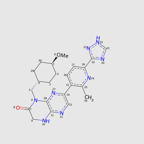 CO[C@H]1CC[C@H](CN2C(=O)CNc3ncc(-c4ccc(-c5nc[nH]n5)nc4C)nc32)CC1